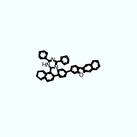 C1=c2ccc(-c3ccc(-c4ccc5c(c4)oc4cc6ccccc6cc45)cc3)c(C3N=C(c4ccccc4)N=C(c4ccccc4)N3)c2=CCC1